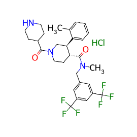 Cc1ccccc1[C@@H]1CN(C(=O)C2CCNCC2)CC[C@H]1C(=O)N(C)Cc1cc(C(F)(F)F)cc(C(F)(F)F)c1.Cl